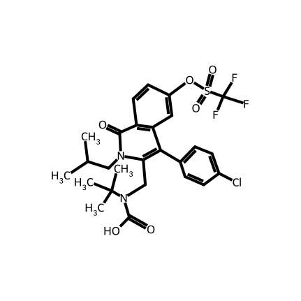 CC(C)Cn1c(CN(C(=O)O)C(C)(C)C)c(-c2ccc(Cl)cc2)c2cc(OS(=O)(=O)C(F)(F)F)ccc2c1=O